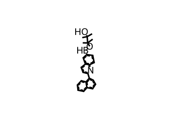 CC(C)(O)C(C)(C)OBc1ccc2nc(-c3cccc4ccccc34)ccc2c1